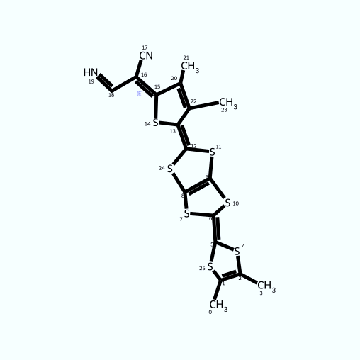 CC1=C(C)SC(=C2SC3=C(S2)SC(=c2s/c(=C(/C#N)C=N)c(C)c2C)S3)S1